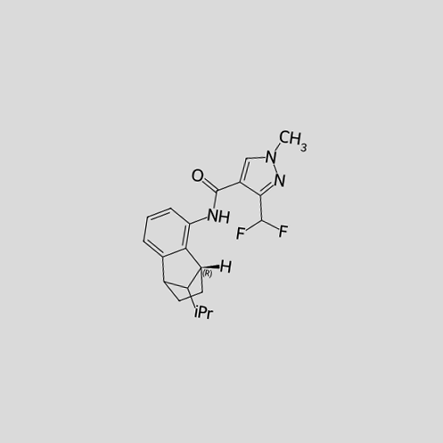 CC(C)C1C2CC[C@H]1c1c(NC(=O)c3cn(C)nc3C(F)F)cccc12